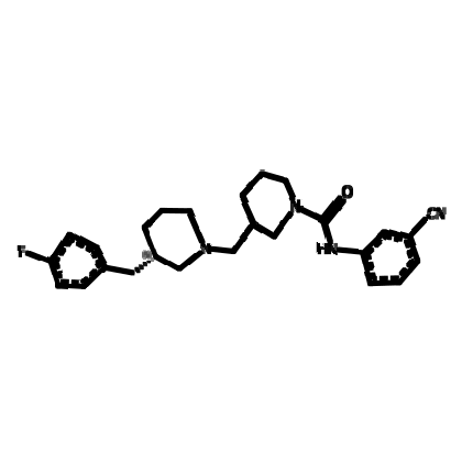 N#Cc1cccc(NC(=O)N2CCCC(CN3CCC[C@@H](Cc4ccc(F)cc4)C3)C2)c1